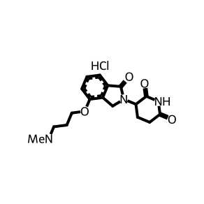 CNCCCOc1cccc2c1CN(C1CCC(=O)NC1=O)C2=O.Cl